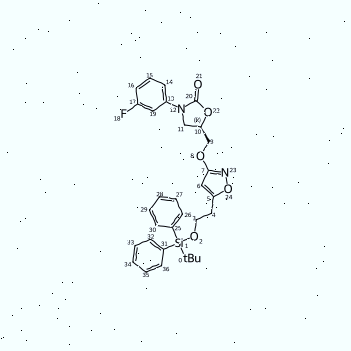 CC(C)(C)[Si](OCCc1cc(OC[C@H]2CN(c3cccc(F)c3)C(=O)O2)no1)(c1ccccc1)c1ccccc1